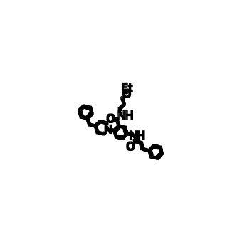 CCOCCCNC(=O)c1cc(NC(=O)/C=C/c2ccccc2)ccc1N1CCC(Cc2ccccc2)CC1